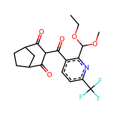 CCOC(OC)c1nc(C(F)(F)F)ccc1C(=O)C1C(=O)C2CCC(C2)C1=O